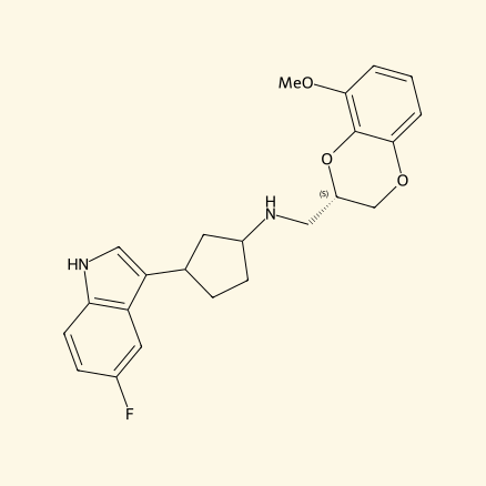 COc1cccc2c1O[C@@H](CNC1CCC(c3c[nH]c4ccc(F)cc34)C1)CO2